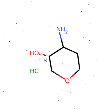 Cl.NC1CCOC[C@@H]1O